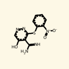 N=C(N)c1c(O)cnnc1Sc1ccccc1[N+](=O)[O-]